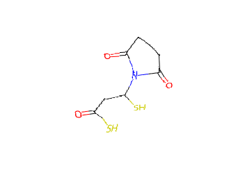 O=C(S)CC(S)N1C(=O)CCC1=O